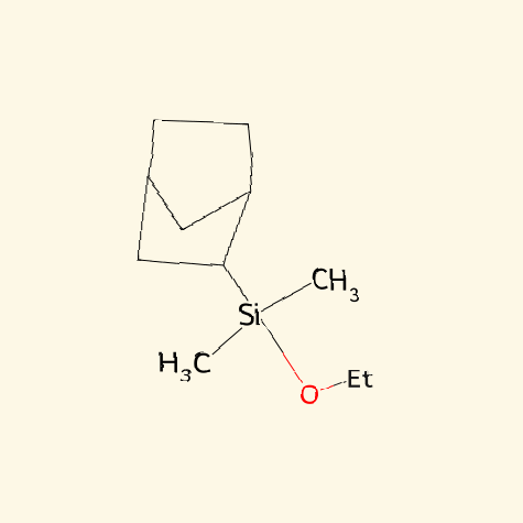 [CH2]CO[Si](C)(C)C1CC2CCC1C2